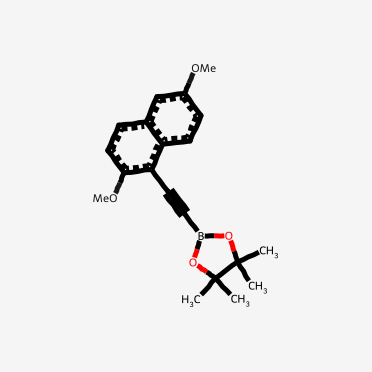 COc1ccc2c(C#CB3OC(C)(C)C(C)(C)O3)c(OC)ccc2c1